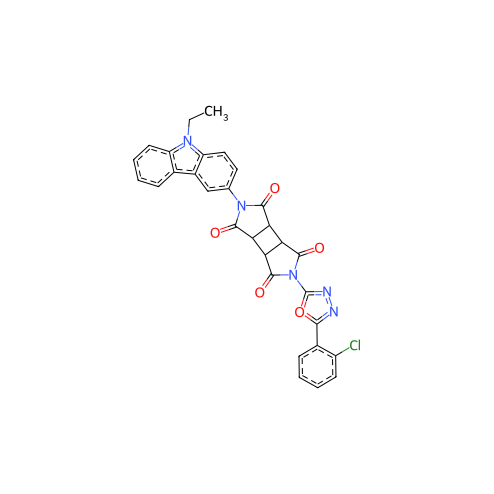 CCn1c2ccccc2c2cc(N3C(=O)C4C(C3=O)C3C(=O)N(c5nnc(-c6ccccc6Cl)o5)C(=O)C43)ccc21